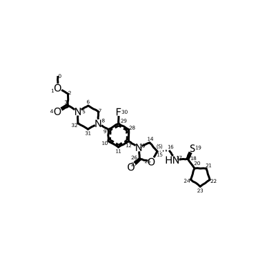 COCC(=O)N1CCN(c2ccc(N3C[C@H](CNC(=S)C4CCCC4)OC3=O)cc2F)CC1